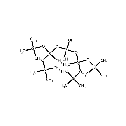 C[Si](C)(C)O[Si](C)(O[Si](C)(C)C)O[Si](C)(O)O[Si](C)(O[Si](C)(C)C)O[Si](C)(C)C